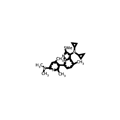 CSc1nn2c(-c3c(C)cc(N(C)C)nc3C)ccc(C)c2c1N(C1CC1)C1CC1